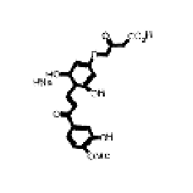 COc1ccc(C(=O)C=CC2C(O)=CC(OCC(=O)CC(=O)O)=CC2O)cc1O.[NaH]